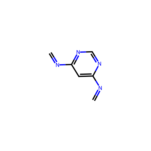 C=Nc1cc(N=C)ncn1